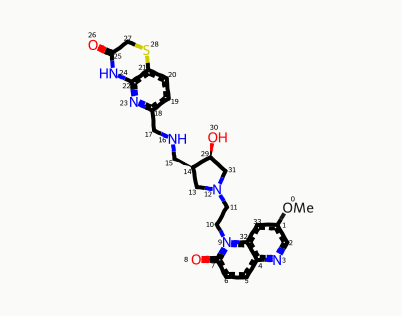 COc1cnc2ccc(=O)n(CCN3C[C@@H](CNCc4ccc5c(n4)NC(=O)CS5)[C@@H](O)C3)c2c1